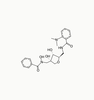 CN(C)c1ccccc1C(=O)NC[C@H]1OC[C@@](O)(CN(O)C(=O)c2ccccc2)[C@@H]1O